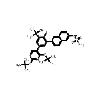 CC(C)(C)Oc1ncc(-c2cc(-c3ccc4cc(NS(C)(=O)=O)ccc4c3)c(I)c(C(C)(C)C)c2)c(OC(C)(C)C)n1